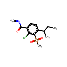 C=NC(=O)c1ccc(C(C)CC)c(S(C)(=O)=O)c1Br